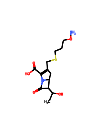 CC(O)C1C(=O)N2C(C(=O)O)=C(CSCCCON)CC12